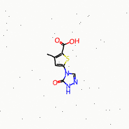 Cc1cc(-n2cn[nH]c2=O)sc1C(=O)O